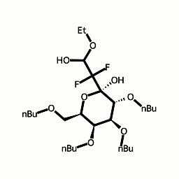 CCCCOC[C@H]1O[C@@](O)(C(F)(F)C(O)OCC)[C@H](OCCCC)[C@@H](OCCCC)[C@H]1OCCCC